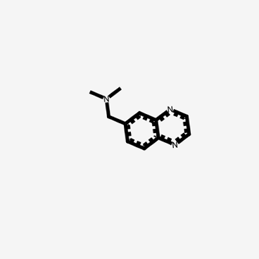 CN(C)Cc1ccc2nccnc2c1